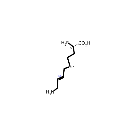 NC/C=C/C[Se]CC[C@H](N)C(=O)O